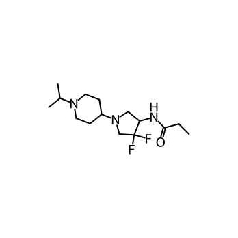 CCC(=O)NC1CN(C2CCN(C(C)C)CC2)CC1(F)F